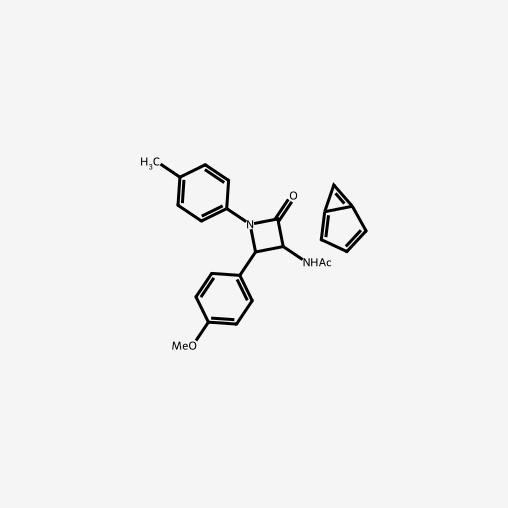 COc1ccc(C2C(NC(C)=O)C(=O)N2c2ccc(C)cc2)cc1.c1cc2cc-2c1